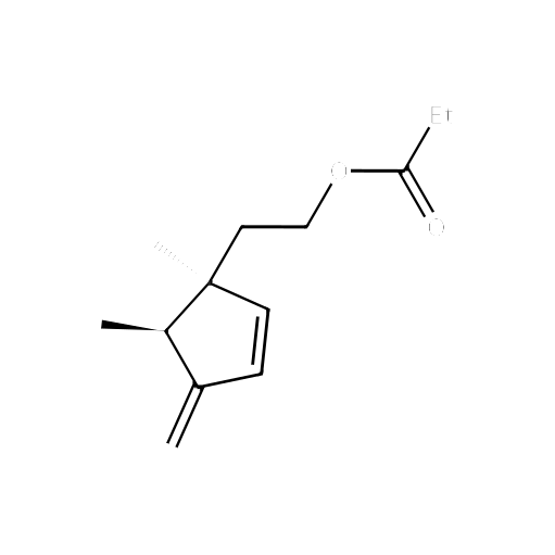 C=C1C=C[C@](C)(CCOC(=O)CC)[C@@H]1C